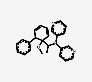 COC1(C(C)N(c2cccnc2)c2cccnc2)C=CC=CC1c1ccccc1